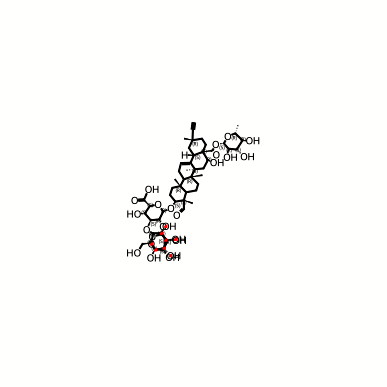 C#C[C@]1(C)CC[C@]2(C(=O)O[C@@H]3O[C@H](C)[C@H](O)[C@H](O)[C@H]3O)[C@H](O)C[C@]3(C)C(=CCC4[C@@]5(C)CC[C@H](O[C@@H]6O[C@H](C(=O)O)[C@@H](O)[C@H](O[C@@H]7OC[C@@H](O)[C@H](O)[C@H]7O)[C@H]6O[C@@H]6O[C@H](CO)[C@H](O)[C@H](O)[C@H]6O)[C@@](C)(C=O)C5CC[C@]43C)[C@@H]2C1